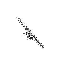 CCCCCCCCCCCCCCP(CCCCCCCCCCCCCC)C(O)C(O)CO